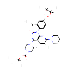 CC(C)c1cc(B2OC(C)(C)C(C)(C)O2)ccc1-n1c(=O)nc(N2CCN(C(=O)OC(C)(C)C)C[C@@H]2C)c2cc(Cl)c(N3CCCCC3)nc21